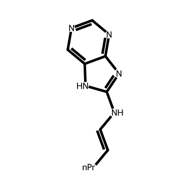 CCCC=CNc1nc2ncncc2[nH]1